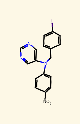 O=[N+]([O-])c1ccc(N(Cc2ccc(I)cc2)c2cncnc2)cc1